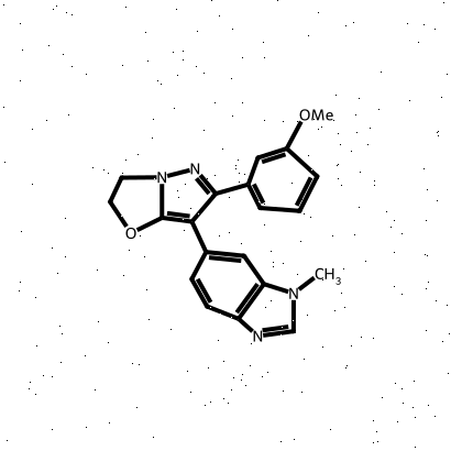 COc1cccc(-c2nn3c(c2-c2ccc4ncn(C)c4c2)OCC3)c1